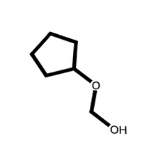 OCOC1CCCC1